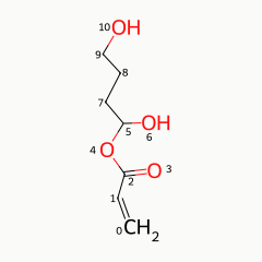 C=CC(=O)OC(O)CCCO